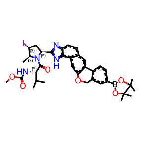 COC(=O)N[C@H](C(=O)N1[C@H](c2nc3ccc4cc5c(cc4c3[nH]2)OCc2cc(B3OC(C)(C)C(C)(C)O3)ccc2-5)C[C@H](I)[C@@H]1C)C(C)C